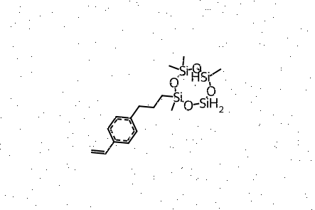 C=Cc1ccc(CCC[Si]2(C)O[SiH2]O[SiH](C)O[Si](C)(C)O2)cc1